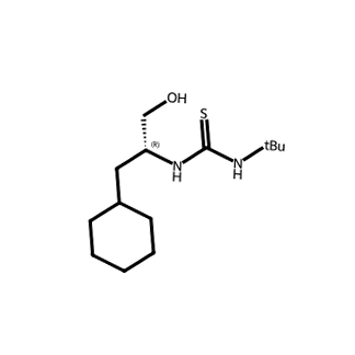 CC(C)(C)NC(=S)N[C@@H](CO)CC1CCCCC1